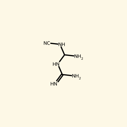 N#CNC(N)NC(=N)N